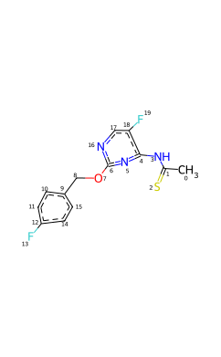 CC(=S)Nc1nc(OCc2ccc(F)cc2)ncc1F